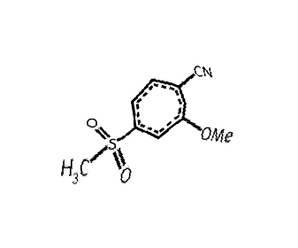 COc1cc(S(C)(=O)=O)ccc1C#N